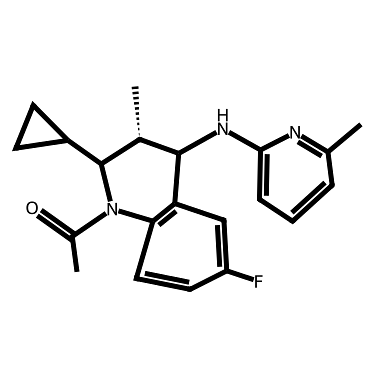 CC(=O)N1c2ccc(F)cc2C(Nc2cccc(C)n2)[C@@H](C)C1C1CC1